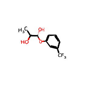 CC(O)[C@H](O)Oc1cccc(C(F)(F)F)c1